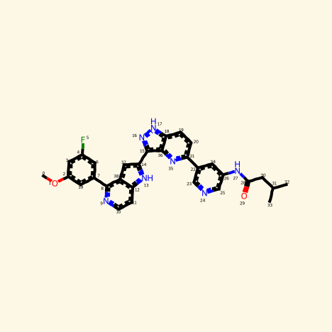 COc1cc(F)cc(-c2nccc3[nH]c(-c4n[nH]c5ccc(-c6cncc(NC(=O)CC(C)C)c6)nc45)cc23)c1